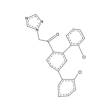 O=C(Cn1cncn1)c1ccc(-c2ccccc2Cl)cc1-c1ccccc1Cl